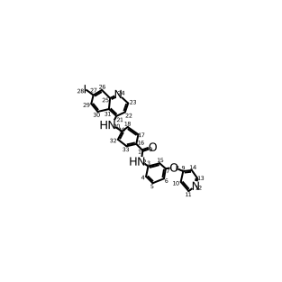 O=C(Nc1cccc(Oc2ccncc2)c1)c1ccc(Nc2ccnc3cc(I)ccc23)cc1